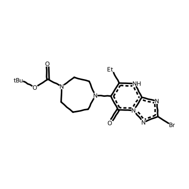 CCc1[nH]c2nc(Br)nn2c(=O)c1N1CCCN(C(=O)OC(C)(C)C)CC1